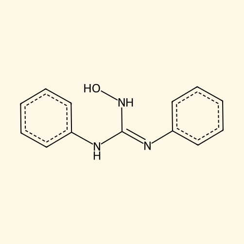 ONC(=Nc1ccccc1)Nc1ccccc1